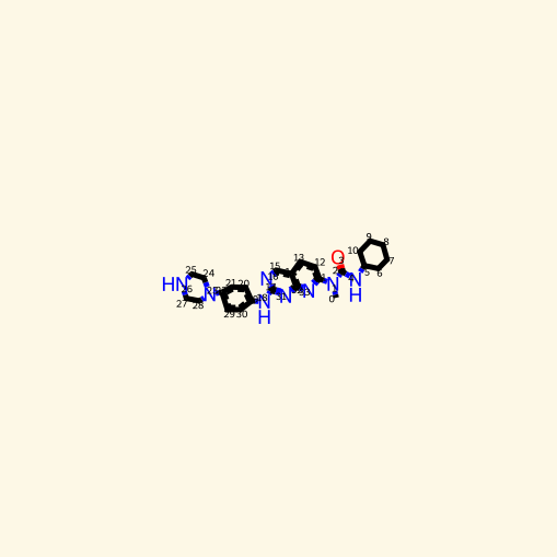 CN(C(=O)NC1CCCCC1)c1ccc2cnc(Nc3ccc(N4CCNCC4)cc3)nc2n1